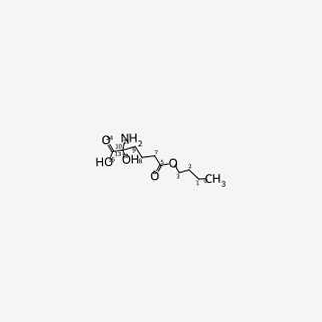 CCCCOC(=O)CCCC(N)(O)C(=O)O